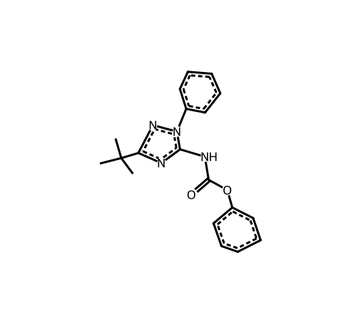 CC(C)(C)c1nc(NC(=O)Oc2ccccc2)n(-c2ccccc2)n1